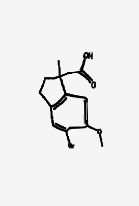 COc1cc2c(cc1Br)CCC2(C)C(=O)O